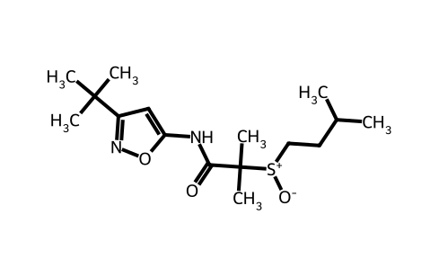 CC(C)CC[S+]([O-])C(C)(C)C(=O)Nc1cc(C(C)(C)C)no1